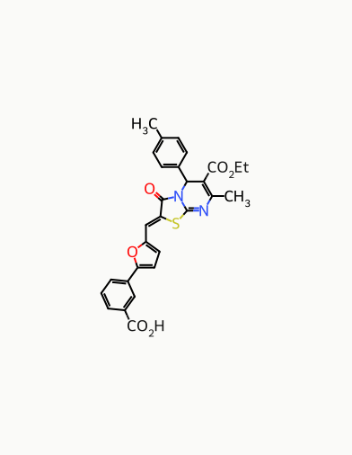 CCOC(=O)C1=C(C)N=c2s/c(=C\c3ccc(-c4cccc(C(=O)O)c4)o3)c(=O)n2C1c1ccc(C)cc1